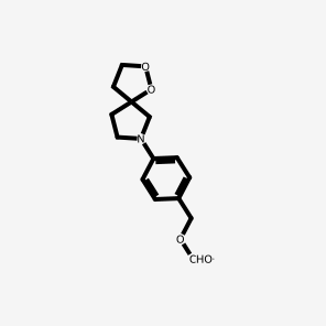 O=[C]OCc1ccc(N2CCC3(CCOO3)C2)cc1